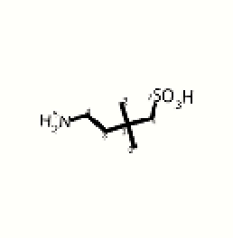 CC(C)(CCN)CS(=O)(=O)O